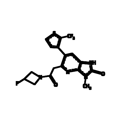 Cn1c(=O)[nH]c2cc(-c3ccsc3C(F)(F)F)c(CC(=O)N3CC(F)C3)nc21